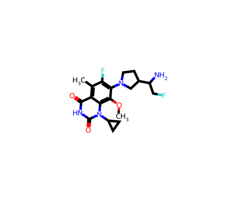 COc1c(N2CCC(C(N)CF)C2)c(F)c(C)c2c(=O)[nH]c(=O)n(C3CC3)c12